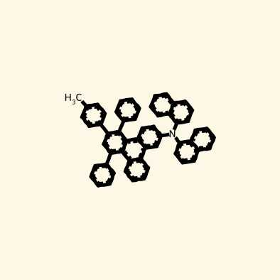 Cc1ccc(-c2cc(-c3ccccc3)c3c4ccccc4c4cc(N(c5cccc6ccccc56)c5cccc6ccccc56)ccc4c3c2-c2ccccc2)cc1